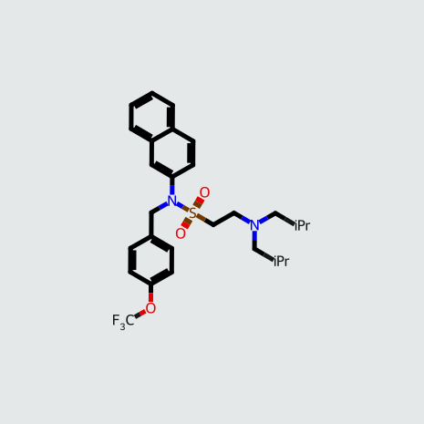 CC(C)CN(CCS(=O)(=O)N(Cc1ccc(OC(F)(F)F)cc1)c1ccc2ccccc2c1)CC(C)C